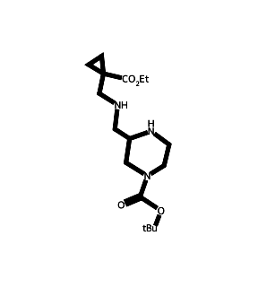 CCOC(=O)C1(CNCC2CN(C(=O)OC(C)(C)C)CCN2)CC1